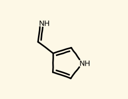 N=Cc1cc[nH]c1